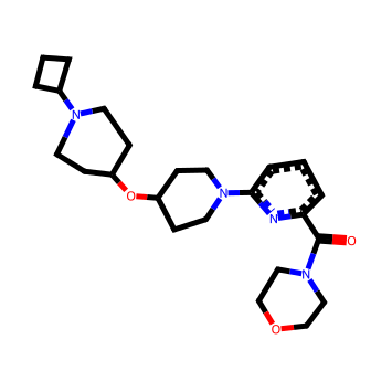 O=C(c1cccc(N2CCC(OC3CCN(C4CCC4)CC3)CC2)n1)N1CCOCC1